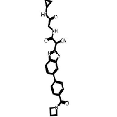 N#CC(C(=O)NCC(=O)NC1CC1)c1nc2ccc(-c3ccc(C(=O)N4CCC4)cc3)cc2s1